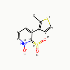 Cc1sccc1C1=CC=C[NH+]([O-])C1=S(=O)=O